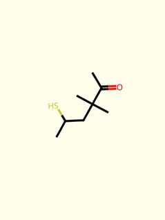 CC(=O)C(C)(C)CC(C)S